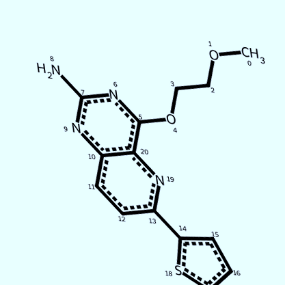 COCCOc1nc(N)nc2ccc(-c3cccs3)nc12